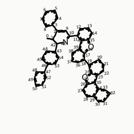 CC1C(c2ccccc2)=CC(c2cccc3oc4c(-c5cccc6c5oc5ccc7ccccc7c56)cccc4c23)=NC1c1ccc(-c2ccccc2)cc1